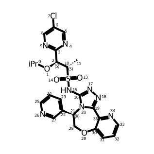 CC(C)O[C@@H](c1ncc(Cl)cn1)[C@H](C)S(=O)(=O)Nc1nnc2n1[C@H](c1cccnc1)COc1cccnc1-2